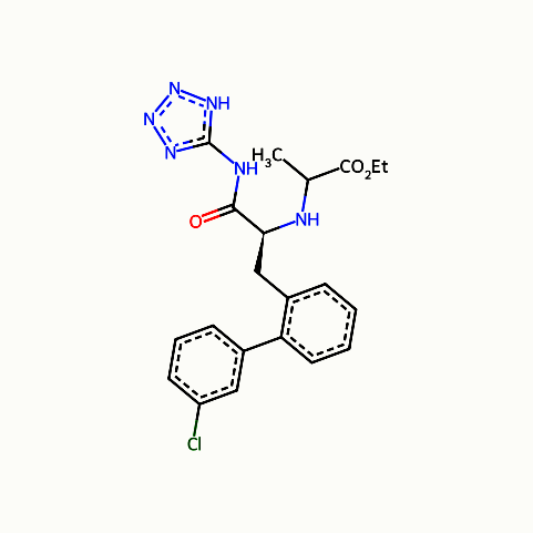 CCOC(=O)C(C)N[C@@H](Cc1ccccc1-c1cccc(Cl)c1)C(=O)Nc1nnn[nH]1